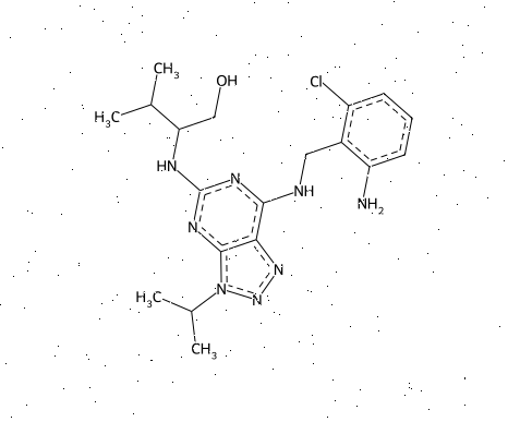 CC(C)C(CO)Nc1nc(NCc2c(N)cccc2Cl)c2nnn(C(C)C)c2n1